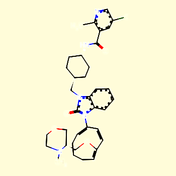 Cc1ncc(Cl)cc1C(=O)N[C@H]1CC[C@H](Cn2c(=O)n(C3=C/CCC/C=C(OC[C@@H]4COCCN4C)/C=C\3)c3ccccc32)CC1